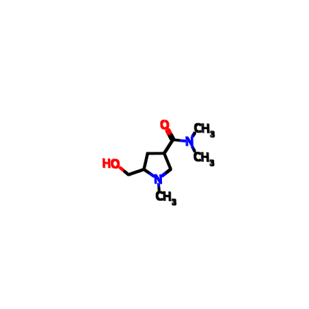 CN(C)C(=O)C1CC(CO)N(C)C1